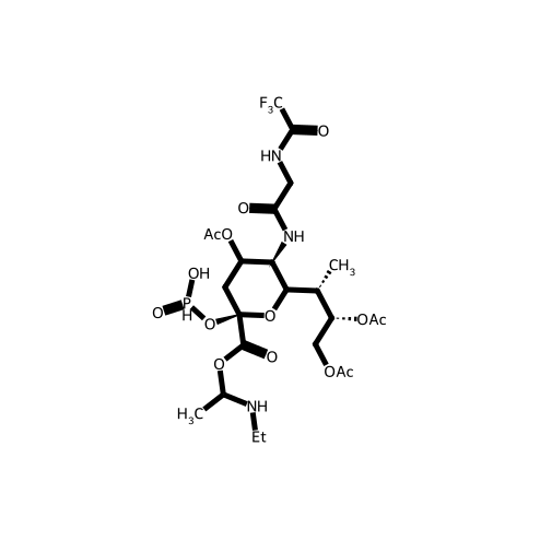 CCNC(C)OC(=O)[C@]1(O[PH](=O)O)CC(OC(C)=O)[C@@H](NC(=O)CNC(=O)C(F)(F)F)C([C@H](C)[C@@H](COC(C)=O)OC(C)=O)O1